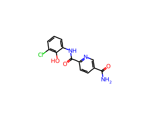 NC(=O)c1ccc(C(=O)Nc2cccc(Cl)c2O)nc1